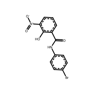 O=C(Nc1ccc(Br)cc1)c1cccc([N+](=O)[O-])c1O